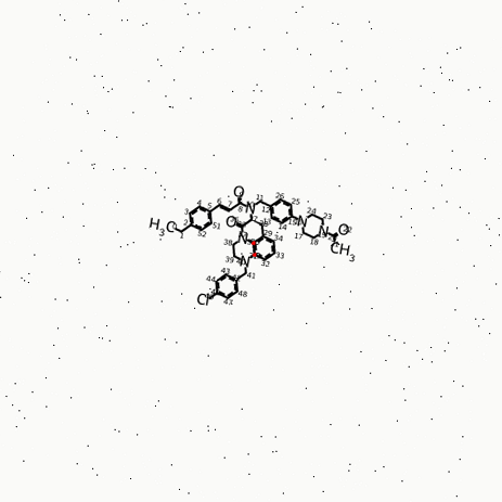 CCc1ccc(C=CC(=O)N(Cc2ccc(N3CCN(C(C)=O)CC3)cc2)[C@@H](Cc2ccccc2)C(=O)N2CCN(Cc3ccc(Cl)cc3)CC2)cc1